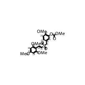 COC(=O)Oc1cc(CS(=O)(=O)C=Cc2c(OC)cc(OC)cc2OC)ccc1OC